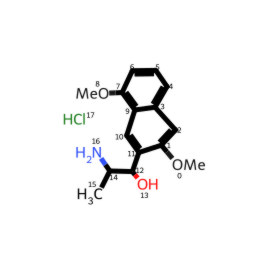 COc1cc2cccc(OC)c2cc1C(O)C(C)N.Cl